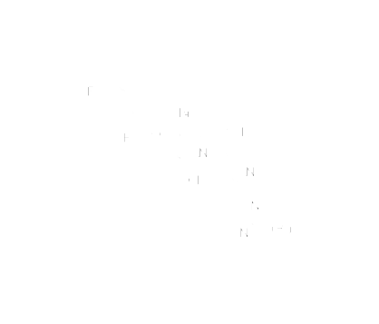 CC1=CC(OCc2ccc(F)cc2F)=C(Br)CN1c1cc(-c2ccnc(C(C)(C)C)n2)ncc1C